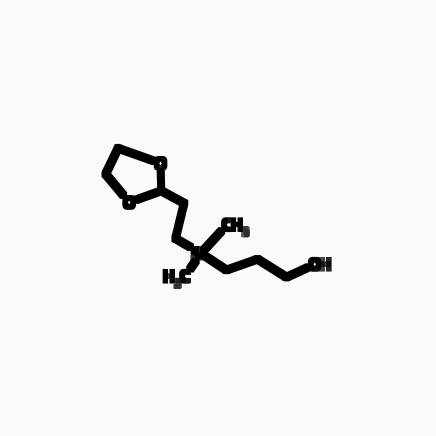 C[Si](C)(CCCO)CCC1OCCO1